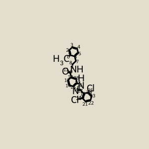 Cc1ccccc1CCNC(=O)c1ccc2nc(-c3c(Cl)cccc3Cl)[nH]c2c1